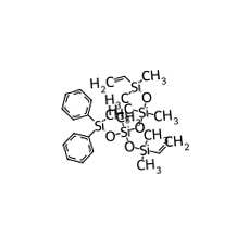 C=C[Si](C)(C)O[Si](C)(C)O[Si](C)(O[Si](C)(C)C=C)O[Si](C)(c1ccccc1)c1ccccc1